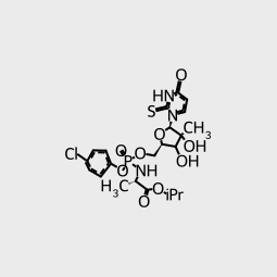 CC(C)OC(=O)[C@H](C)NP(=O)(OC[C@H]1O[C@@H](n2ccc(=O)[nH]c2=S)[C@](C)(O)C1O)Oc1ccc(Cl)cc1